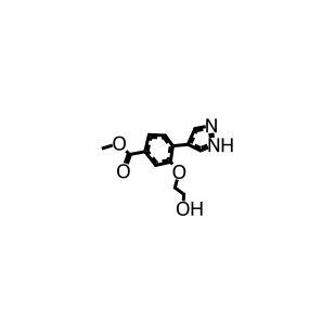 COC(=O)c1ccc(-c2cn[nH]c2)c(OCCO)c1